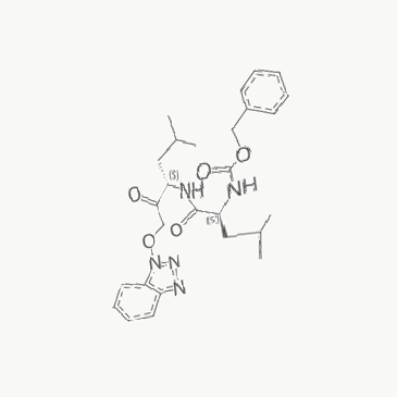 CC(C)C[C@H](NC(=O)[C@H](CC(C)C)NC(=O)OCc1ccccc1)C(=O)COn1nnc2ccccc21